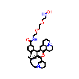 C/C1=C\C2=C(Oc3c4c5c(cc3=C2c2cc(C(=O)NCCOCCOCCNO)ccc2C(=O)O)CCC[N+]=5CCC4)C2=CN(CCC2)CCC1